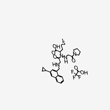 CSCCC(C(=O)O)N(NCC(=O)N1CCCC1)C(=O)CNCc1cc(C2CC2)cc2ccccc12.O=C(O)C(F)(F)F